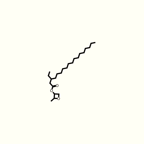 CCCCCCCCCCCCCCCC(CC)CC(=O)OC1COC1C